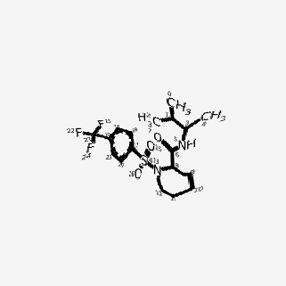 CC(C)C(C)NC(=O)C1CCCCN1S(=O)(=O)c1ccc(C(F)(F)F)cc1